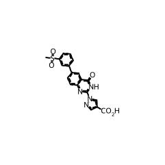 CS(=O)(=O)c1cccc(-c2ccc3nc(-n4cc(C(=O)O)cn4)[nH]c(=O)c3c2)c1